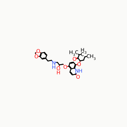 CCCC(Oc1ccc(OCC(O)CNCCc2ccc3c(c2)OCO3)c2ccc(=O)[nH]c12)C(=O)C(C)C